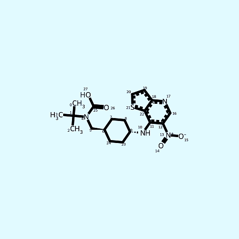 CC(C)(C)N(C[C@H]1CC[C@H](Nc2c([N+](=O)[O-])cnc3ccsc23)CC1)C(=O)O